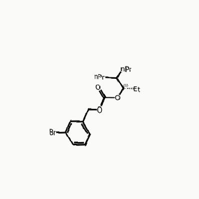 CCCC(CCC)[C@H](CC)OC(=O)OCc1cccc(Br)c1